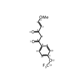 COC=CC(=O)CC(=O)c1ccc(OC(F)(F)F)cc1